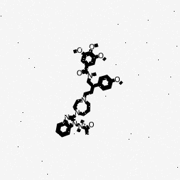 COc1ccc(C(CCN2CCCN(c3nc4ccccc4n3[N+](C)(C)C(C)=O)CC2)CN(C)C(=O)c2cc(OC)c(OC)c(OC)c2)cc1